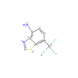 Nc1ccc(C(F)(F)F)c2scnc12